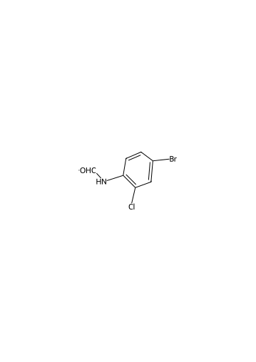 O=[C]Nc1ccc(Br)cc1Cl